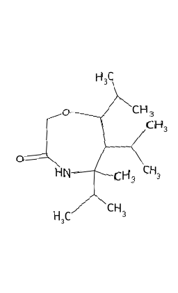 CC(C)C1OCC(=O)NC(C)(C(C)C)C1C(C)C